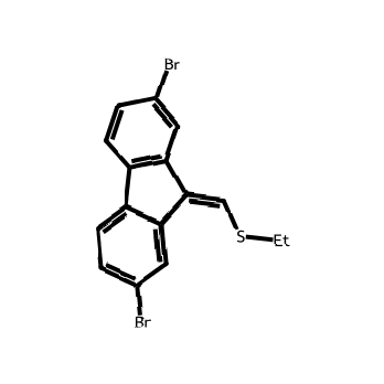 CCSC=C1c2cc(Br)ccc2-c2ccc(Br)cc21